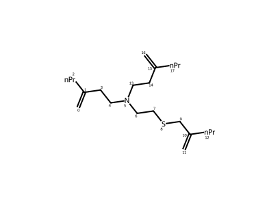 C=C(CCC)CCN(CCSCC(=C)CCC)CCC(=C)CCC